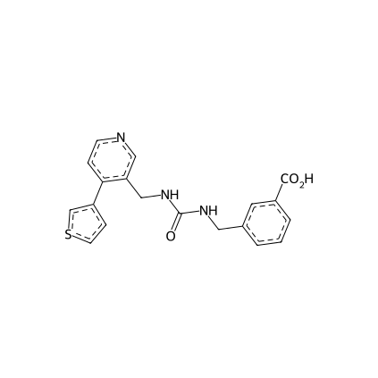 O=C(NCc1cccc(C(=O)O)c1)NCc1cnccc1-c1ccsc1